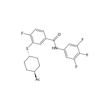 CC(=O)[C@H]1CC[C@H](Sc2cc(C(=O)Nc3cc(F)c(F)c(F)c3)ccc2F)CC1